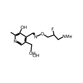 CNCC(F)CON=Cc1c(CO)cnc(C)c1O.Cl